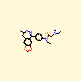 CCNCC(=O)N(CC)c1ccc(C2=NN=C(C)Cc3cc4c(cc32)OCO4)cc1